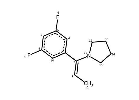 CC=C(c1cc(F)cc(F)c1)N1CCCC1